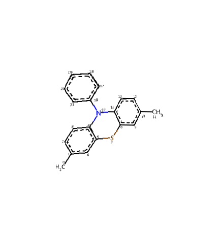 Cc1ccc2c(c1)Sc1cc(C)ccc1N2c1ccccc1